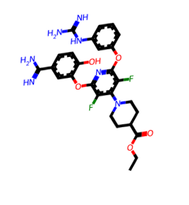 CCOC(=O)C1CCN(c2c(F)c(Oc3cccc(NC(=N)N)c3)nc(Oc3cc(C(=N)N)ccc3O)c2F)CC1